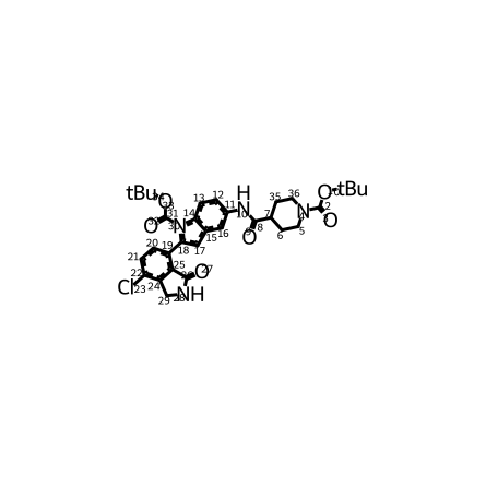 CC(C)(C)OC(=O)N1CCC(C(=O)Nc2ccc3c(c2)cc(-c2ccc(Cl)c4c2C(=O)NC4)n3C(=O)OC(C)(C)C)CC1